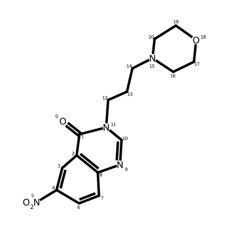 O=c1c2cc([N+](=O)[O-])ccc2ncn1CCCN1CCOCC1